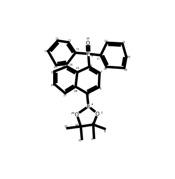 CC1(C)OB(c2ccc(P(=O)(c3ccccc3)c3ccccc3)c3ccccc23)OC1(C)C